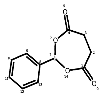 O=C1CCC(=O)OI(c2ccccc2)O1